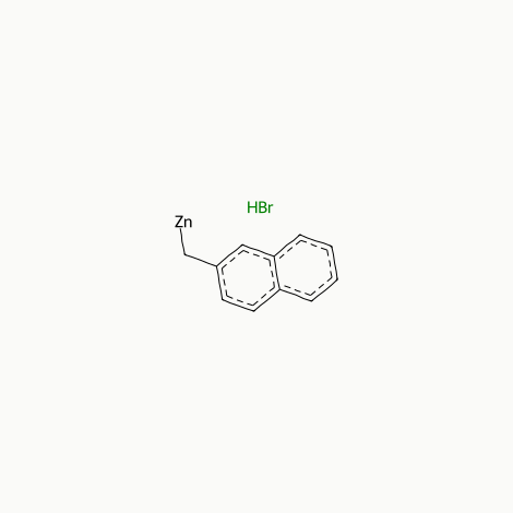 Br.[Zn][CH2]c1ccc2ccccc2c1